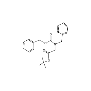 CC(C)(C)OC(=O)CN(Cc1ccccn1)C(=O)OCc1ccccc1